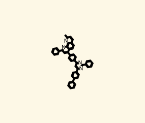 Cc1ccc2ccc3c(-c4ccc(-c5cc(-c6ccc(-c7ccccc7)cc6)nc(-c6ccccc6)n5)cc4)cc(-c4ccccc4)nc3c2n1